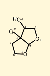 OC1COC2OCCC12Cl